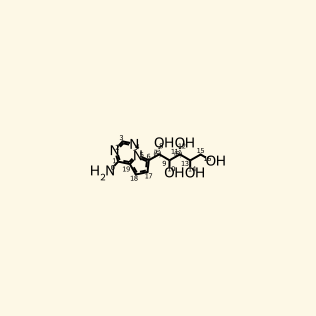 Nc1ncnn2c([C@H](O)C(O)[C@H](O)C(O)CO)ccc12